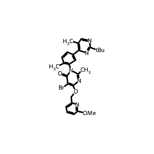 COc1cccc(COc2nc(C)n(-c3cc(-c4nc(C(C)(C)C)ncc4C)ccc3C)c(=O)c2Br)n1